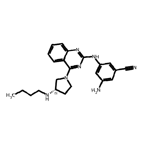 CCCCN[C@H]1CCN(c2nc(Nc3cc(N)cc(C#N)c3)nc3ccccc23)C1